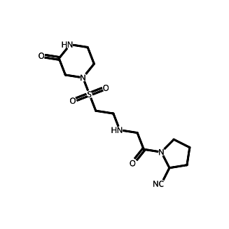 N#CC1CCCN1C(=O)CNCCS(=O)(=O)N1CCNC(=O)C1